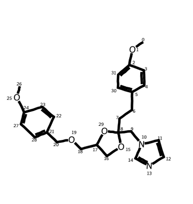 COc1ccc(CCC2(Cn3ccnc3)OCC(COCc3ccc(OC)cc3)O2)cc1